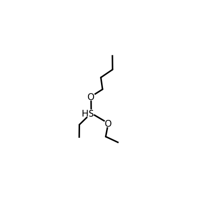 CCCCO[SH](CC)OCC